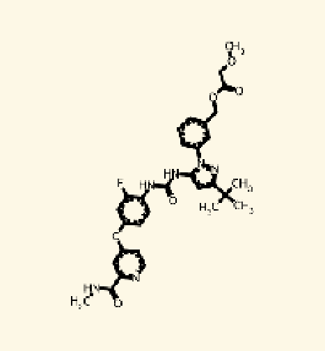 CNC(=O)c1cc(Oc2ccc(NC(=O)Nc3cc(C(C)(C)C)nn3-c3cccc(COC(=O)COC)c3)c(F)c2)ccn1